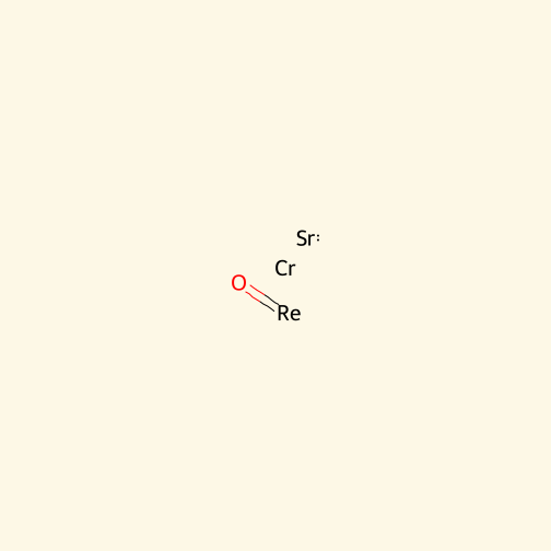 [Cr].[O]=[Re].[Sr]